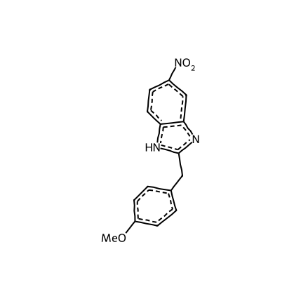 COc1ccc(Cc2nc3cc([N+](=O)[O-])ccc3[nH]2)cc1